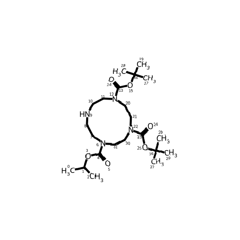 CC(C)OC(=O)N1CCNCCN(C(=O)OC(C)(C)C)CCN(C(=O)OC(C)(C)C)CC1